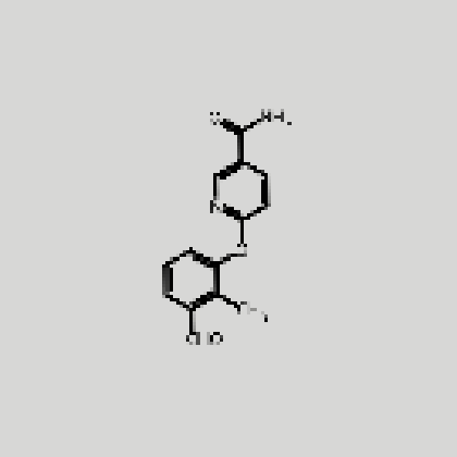 Cc1c(C=O)cccc1Oc1ccc(C(N)=O)cn1